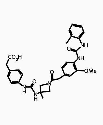 COc1cc(CC(=O)N2CC(C)(NC(=O)Nc3ccc(CC(=O)O)cc3)C2)ccc1NC(=O)Nc1ccccc1C